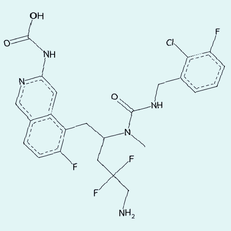 CN(C(=O)NCc1cccc(F)c1Cl)C(Cc1c(F)ccc2cnc(NC(=O)O)cc12)CC(F)(F)CN